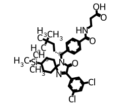 CC(C)(C)CC[C@H](c1ccc(C(=O)NCCC(=O)O)cc1)N1C(=O)C(c2cc(Cl)cc(Cl)c2)=NC12CCC([Si](C)(C)C)CC2